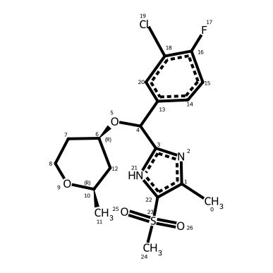 Cc1nc(C(O[C@@H]2CCO[C@H](C)C2)c2ccc(F)c(Cl)c2)[nH]c1S(C)(=O)=O